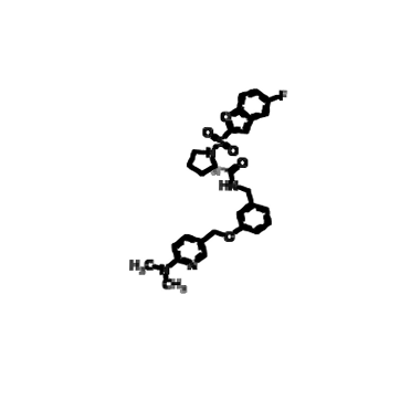 CN(C)c1ccc(COc2cccc(CNC(=O)[C@@H]3CCCN3S(=O)(=O)c3cc4cc(F)ccc4o3)c2)cn1